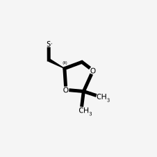 CC1(C)OC[C@H](C[S])O1